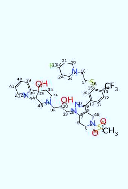 CS(=O)(=O)N1CCc2c(c(-c3ccc(C(F)(F)F)c(SCCN4CCC(F)CC4)c3)nn2CC(O)CN2CCC(O)(c3ccccn3)CC2)C1